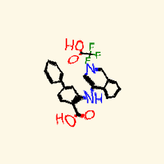 O=C(O)C(F)(F)F.O=C(O)c1ccc(-c2ccccc2)cc1Nc1cncc2ccccc12